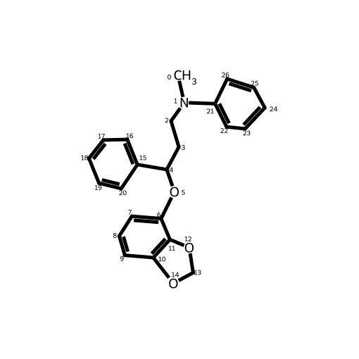 CN(CCC(Oc1cccc2c1OCO2)c1ccccc1)c1ccccc1